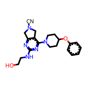 N#CN1Cc2nc(NCCO)nc(N3CCC(Oc4ccccc4)CC3)c2C1